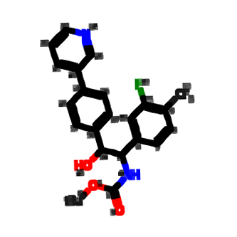 CC(C)(C)OC(=O)NC(c1ccc(C(F)(F)F)c(F)c1)C(O)c1ccc(-c2cccnc2)cc1